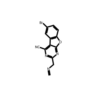 C=NCc1nc(C#N)c2c(n1)oc1ccc(Br)cc12